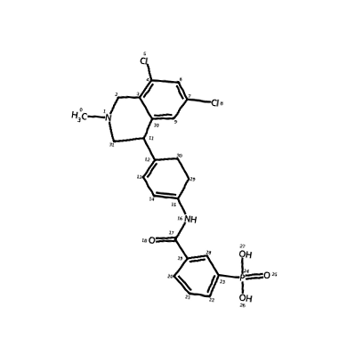 CN1Cc2c(Cl)cc(Cl)cc2C(C2=CC=C(NC(=O)c3cccc(P(=O)(O)O)c3)CC2)C1